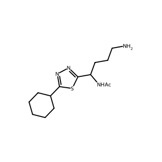 CC(=O)NC(CCCN)c1nnc(C2CCCCC2)s1